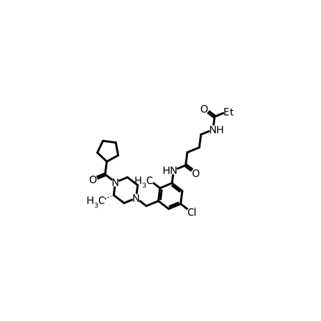 CCC(=O)NCCCC(=O)Nc1cc(Cl)cc(CN2CCN(C(=O)C3CCCC3)[C@@H](C)C2)c1C